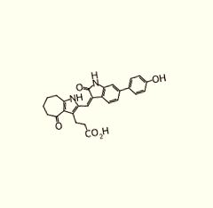 O=C(O)CCc1c(C=C2C(=O)Nc3cc(-c4ccc(O)cc4)ccc32)[nH]c2c1C(=O)CCCC2